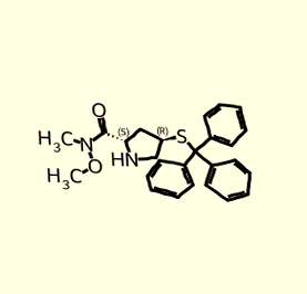 CON(C)C(=O)[C@@H]1C[C@@H](SC(c2ccccc2)(c2ccccc2)c2ccccc2)CN1